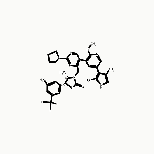 COc1ncc(-c2c(C)c[nH]c2C)cc1-c1cnc(N2CCCC2)nc1CN1C(=O)O[C@H](c2cc(C)cc(C(F)(F)F)c2)[C@@H]1C